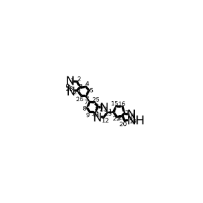 c1ncc2ccc(-c3ccc4ncc(-c5ccc6n[nH]cc6c5)nc4c3)cc2n1